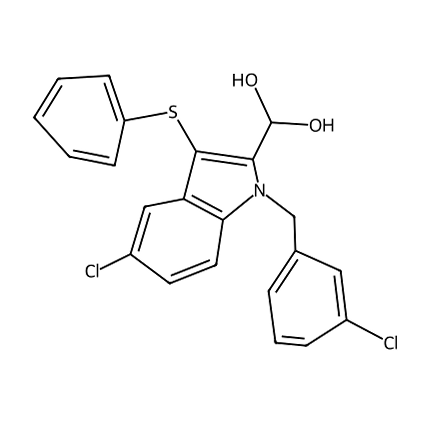 OC(O)c1c(Sc2ccccc2)c2cc(Cl)ccc2n1Cc1cccc(Cl)c1